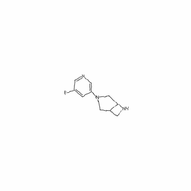 Fc1cncc(N2CC3CNC3C2)c1